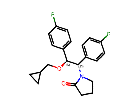 O=C1CCCN1[C@@H](c1ccc(F)cc1)[C@@H](OCC1CC1)c1ccc(F)cc1